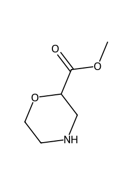 COC(=O)C1CNCCO1